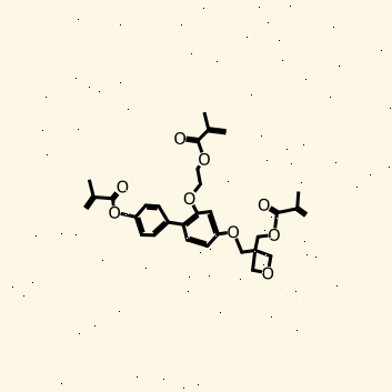 C=C(C)C(=O)OCCOc1cc(OCC2(COC(=O)C(=C)C)COC2)ccc1-c1ccc(OC(=O)C(=C)C)cc1